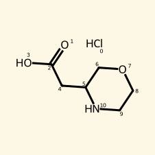 Cl.O=C(O)CC1COCCN1